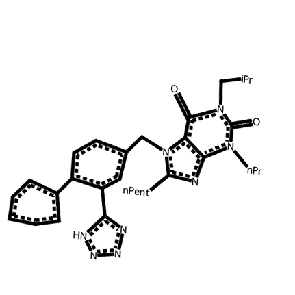 CCCCCc1nc2c(c(=O)n(CC(C)C)c(=O)n2CCC)n1Cc1ccc(-c2ccccc2)c(-c2nnn[nH]2)c1